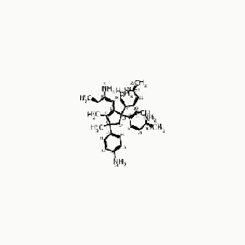 C=C/C(N)=C\C1=C(C)C(C)(c2ccc(N)cc2)CC1(C(/C=C\C(=C)N)=C/C)C(/C=C\C(=C)N)=C/C